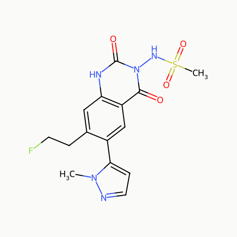 Cn1nccc1-c1cc2c(=O)n(NS(C)(=O)=O)c(=O)[nH]c2cc1CCF